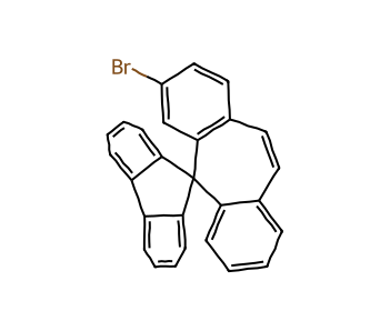 Brc1ccc2c(c1)C1(c3ccccc3C=C2)c2ccccc2-c2ccccc21